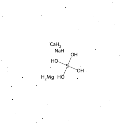 O[Si](O)(O)O.[CaH2].[MgH2].[NaH]